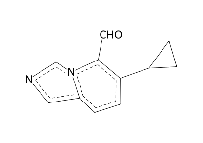 O=Cc1c(C2CC2)ccc2cncn12